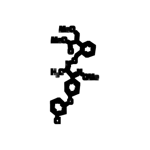 COC=C(C(=O)OC)c1ccccc1CON=C(C)C(=NOC)c1ccc(Oc2cccc(Cl)c2)cc1